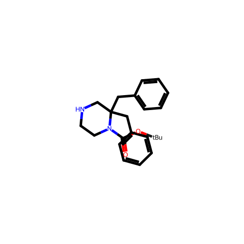 CC(C)(C)OC(=O)N1CCNCC1(Cc1ccccc1)Cc1ccccc1